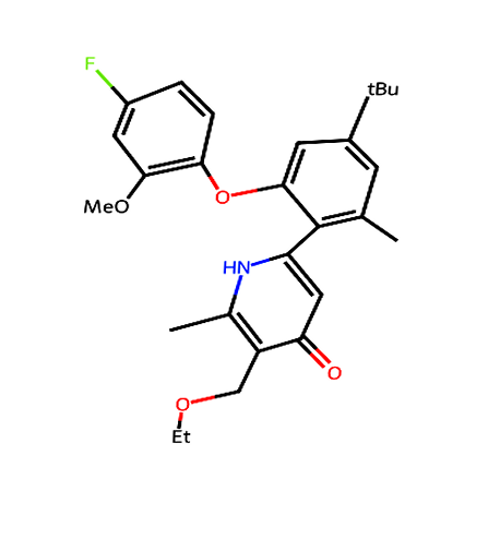 CCOCc1c(C)[nH]c(-c2c(C)cc(C(C)(C)C)cc2Oc2ccc(F)cc2OC)cc1=O